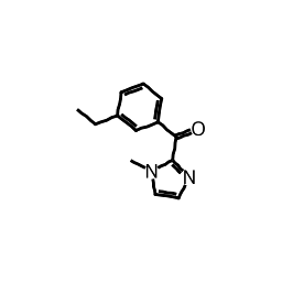 CCc1cccc(C(=O)c2nccn2C)c1